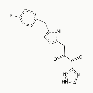 O=C(Cc1ccc(Cc2ccc(F)cc2)[nH]1)C(=O)c1nc[nH]n1